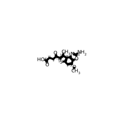 COc1cc2sc(C(=O)CCC(=O)O)c(C)c2c2nc(N)oc12